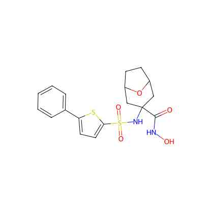 O=C(NO)C1(NS(=O)(=O)c2ccc(-c3ccccc3)s2)CC2CCC(C1)O2